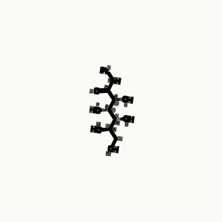 CC(C)NC(=O)[C@H](O)[C@@H](O)[C@H](O)[C@H](O)CO